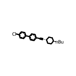 CCCC[C@H]1CC[C@H](C#Cc2ccc(-c3ccc(Cl)cc3)cc2)CC1